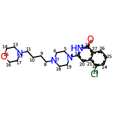 O=c1[nH]c(N2CCN(CCCCN3CCOCC3)CC2)cc2c(Cl)cccc12